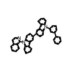 c1ccc(-c2cccc(-n3c4ccccc4c4cc(-c5ccc6c(c5)c5ccccc5n6-c5nccc6ccccc56)ccc43)c2)cc1